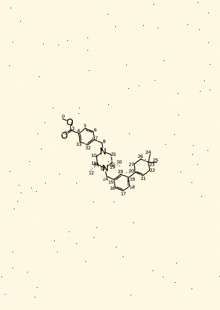 COC(=O)c1ccc(CN2C[C@@H](C)N(Cc3cccc(C4=CCC(C)(C)CC4)c3)[C@@H](C)C2)cc1